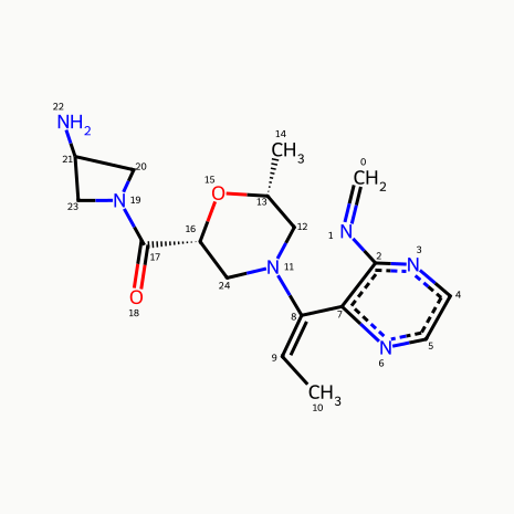 C=Nc1nccnc1/C(=C\C)N1C[C@@H](C)O[C@@H](C(=O)N2CC(N)C2)C1